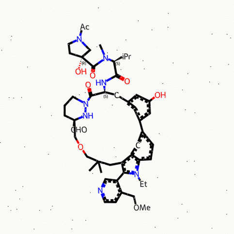 CCn1c(-c2cnccc2COC)c2c3cc(ccc31)-c1cc(O)cc(c1)C[C@H](NC(=O)[C@H](C(C)C)N(C)C(=O)[C@@]1(O)CCN(C(C)=O)C1)C(=O)N1CCCC(C=O)(COCC(C)(C)C2)N1